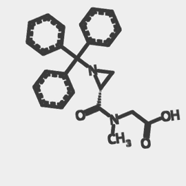 CN(CC(=O)O)C(=O)[C@H]1CN1C(c1ccccc1)(c1ccccc1)c1ccccc1